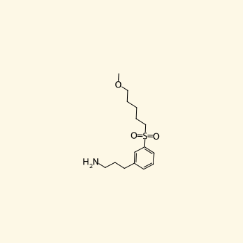 COCCCCCS(=O)(=O)c1cccc(CCCN)c1